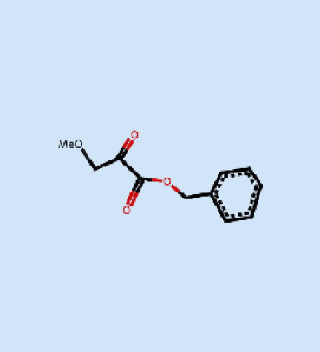 COCC(=O)C(=O)OCc1ccccc1